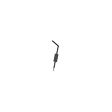 C[CH]C#CI